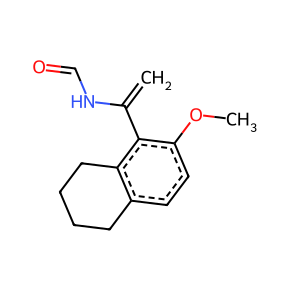 C=C(NC=O)c1c(OC)ccc2c1CCCC2